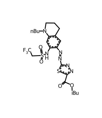 CCCCN1CCCc2cc(N=Nc3nnc(C(=O)OC(C)CC)s3)c(NS(=O)(=O)CC(F)(F)F)cc21